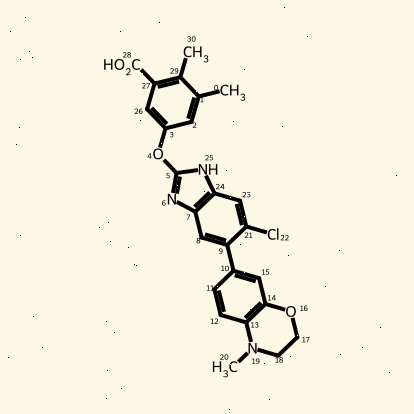 Cc1cc(Oc2nc3cc(-c4ccc5c(c4)OCCN5C)c(Cl)cc3[nH]2)cc(C(=O)O)c1C